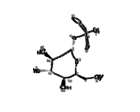 O=S(=O)(O)O[C@@H]1O[C@@H](CO)[C@@H](O)[C@H](O)[C@H]1O